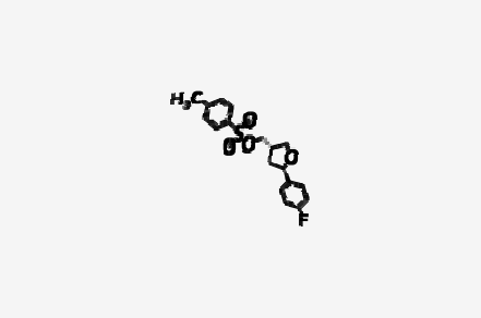 Cc1ccc(S(=O)(=O)OC[C@@H]2CO[C@@H](c3ccc(F)cc3)C2)cc1